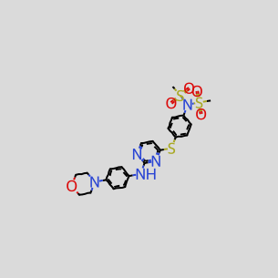 CS(=O)(=O)N(c1ccc(Sc2ccnc(Nc3ccc(N4CCOCC4)cc3)n2)cc1)S(C)(=O)=O